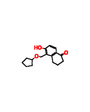 O=C1CCCc2c1ccc(O)c2COC1CCCC1